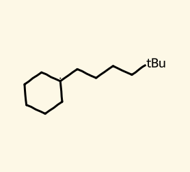 CC(C)(C)CCCC[C]1CCCCC1